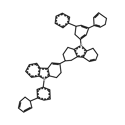 C1=CCC(c2cccc(-n3c4c(c5ccccc53)C=C(C3CCc5c(c6c(n5C5=CC(C7=CCCC=C7)=CC(c7ccccc7)C5)CCC=C6)C3)CC4)c2)C=C1